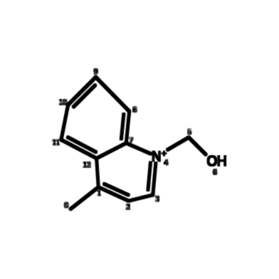 Cc1cc[n+](CO)c2ccccc12